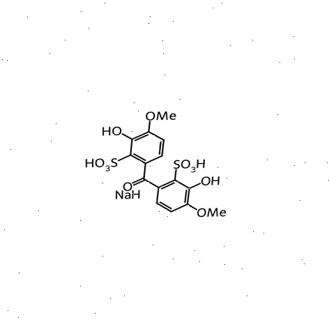 COc1ccc(C(=O)c2ccc(OC)c(O)c2S(=O)(=O)O)c(S(=O)(=O)O)c1O.[NaH]